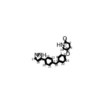 O=C1CC[C@@H](Oc2ccc(Cc3ccc(-c4ccn[nH]4)cc3)cc2)CN1